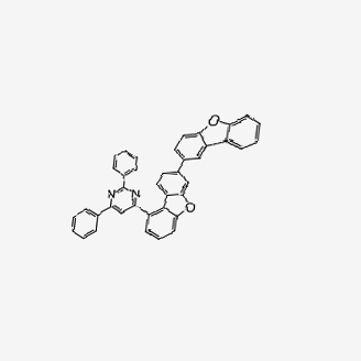 c1ccc(-c2cc(-c3cccc4oc5cc(-c6ccc7oc8ccccc8c7c6)ccc5c34)nc(-c3ccccc3)n2)cc1